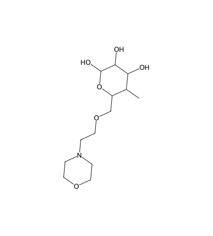 CC1C(COCCN2CCOCC2)OC(O)C(O)C1O